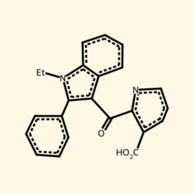 CCn1c(-c2ccccc2)c(C(=O)c2ncccc2C(=O)O)c2ccccc21